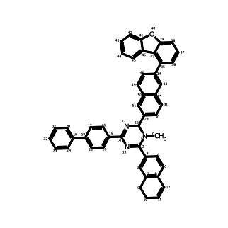 CN1C(c2ccc3c(c2)CCC=C3)=NC(c2ccc(-c3ccccc3)cc2)=NC1c1ccc2cc(-c3cccc4oc5ccccc5c34)ccc2c1